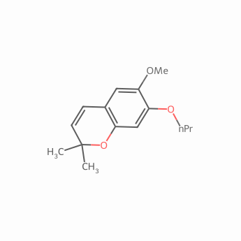 CCCOc1cc2c(cc1OC)C=CC(C)(C)O2